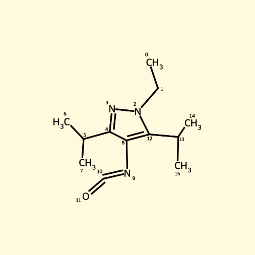 CCn1nc(C(C)C)c(N=C=O)c1C(C)C